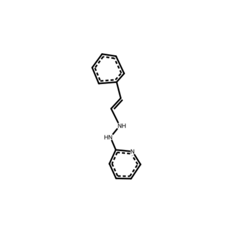 C(=C\c1ccccc1)/NNc1ccccn1